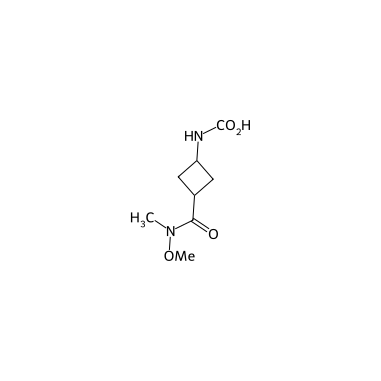 CON(C)C(=O)C1CC(NC(=O)O)C1